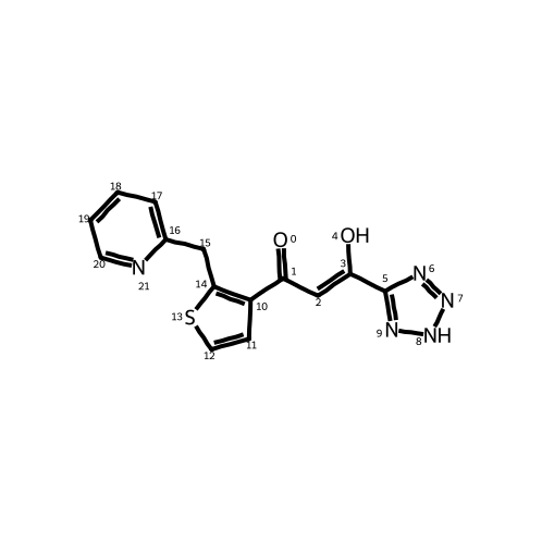 O=C(C=C(O)c1nn[nH]n1)c1ccsc1Cc1ccccn1